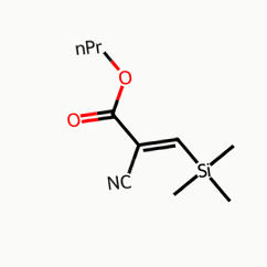 CCCOC(=O)C(C#N)=C[Si](C)(C)C